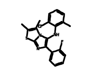 Cc1cccc(Cl)c1Nc1c(-c2ccccc2F)nc2sc(C)c(C)n12